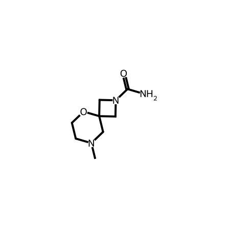 CN1CCOC2(C1)CN(C(N)=O)C2